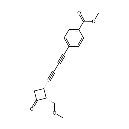 COC[C@@H]1C(=O)C[C@@H]1C#CC#Cc1ccc(C(=O)OC)cc1